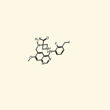 COc1cc2ncnc(Nc3cccc(CI)c3F)c2cc1CN(C)C1(C(N)=O)CNC1